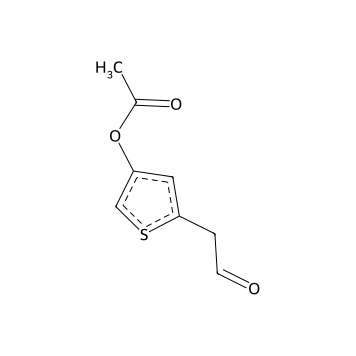 CC(=O)Oc1csc(CC=O)c1